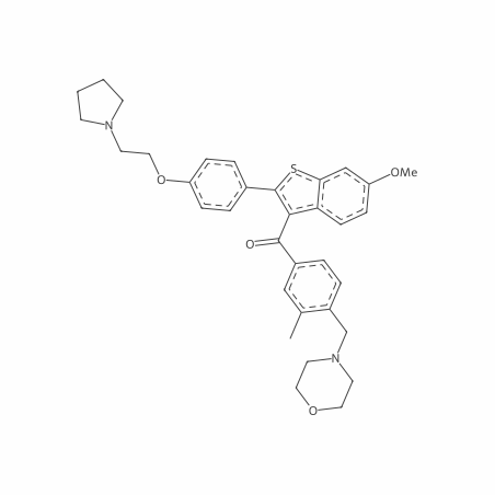 COc1ccc2c(C(=O)c3ccc(CN4CCOCC4)c(C)c3)c(-c3ccc(OCCN4CCCC4)cc3)sc2c1